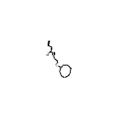 C=CCC(=O)NCCSC1CCCCCCCC1